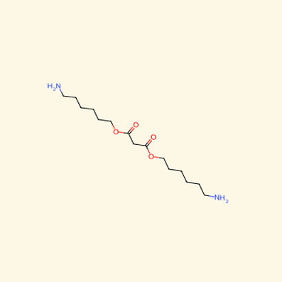 NCCCCCCOC(=O)CC(=O)OCCCCCCN